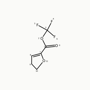 O=C(OC(F)(F)F)C1=CCCO1